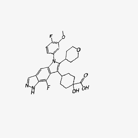 COc1cc(-n2c(C3CCOCC3)c(C3CCC(O)(C(=O)O)CC3)c3c(F)c4[nH]ncc4cc32)ccc1F